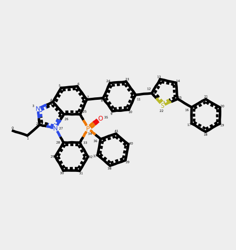 CCc1nc2ccc(-c3ccc(-c4ccc(-c5ccccc5)s4)cc3)c3c2n1-c1ccccc1P3(=O)c1ccccc1